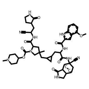 COc1cccc2[nH]c(C(=O)NC(CC3CC3CC3(C)CC(C(=O)NC(C#N)CC4CCNC4=O)N(C(=O)OC4CCN(C)CC4)C3)C(=O)NC3(C#N)CC4CCC3C3C(=O)NCC43)cc12